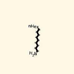 [CH2]CCCCCCCCCCCCCCN